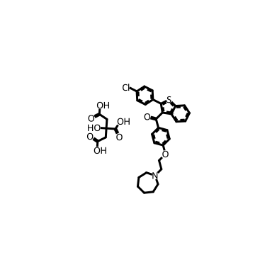 O=C(O)CC(O)(CC(=O)O)C(=O)O.O=C(c1ccc(OCCN2CCCCCC2)cc1)c1c(-c2ccc(Cl)cc2)sc2ccccc12